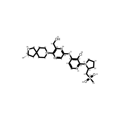 C[C@H]1CC2(CCN(c3ncc(Sc4ccnc(N5CCCC5CS(C)(=O)=O)c4Cl)nc3CO)CC2)CO1